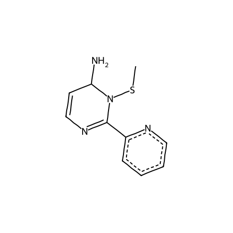 CSN1C(c2ccccn2)=NC=CC1N